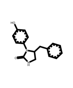 O=C1NCC(Cc2ccccc2)N1c1ccc(O)cc1